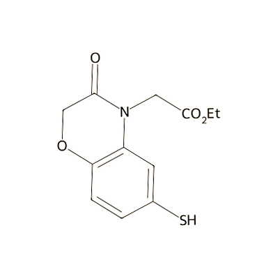 CCOC(=O)CN1C(=O)COc2ccc(S)cc21